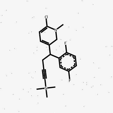 CN1CC(C(CC#C[Si](C)(C)C)c2cc(F)ccc2F)=CC=C1Cl